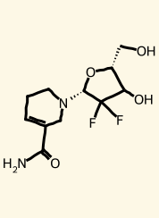 NC(=O)C1=CCCN([C@@H]2O[C@H](CO)C(O)C2(F)F)C1